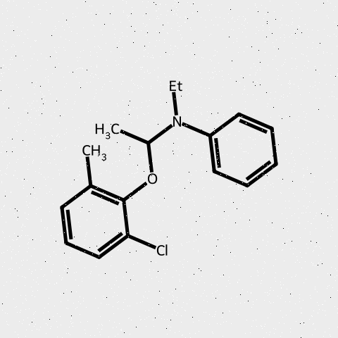 CCN(c1ccccc1)C(C)Oc1c(C)cccc1Cl